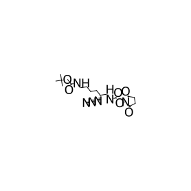 CC(C)(C)OC(=O)NCCCCC(CNC(=O)ON1C(=O)CCC1=O)N=[N+]=[N-]